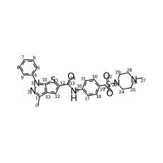 Cc1nn(-c2ccccc2)c2sc(C(=O)Nc3ccc(S(=O)(=O)N4CCN(C)CC4)cc3)cc12